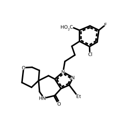 CCc1nn(CCCc2c(Cl)cc(F)cc2C(=O)O)c2c1C(=O)NCC1(CCOCC1)C2